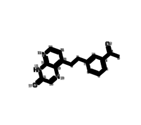 CC(=O)c1cccc(CCc2ccnc3[nH]c(=O)cnc23)c1